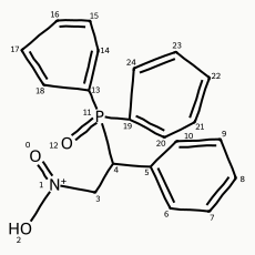 O=[N+](O)CC(c1ccccc1)P(=O)(c1ccccc1)c1ccccc1